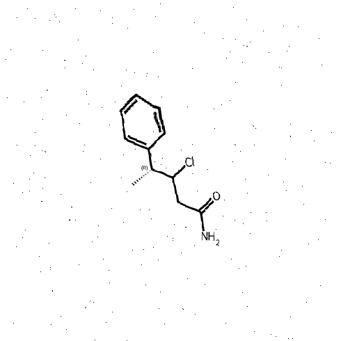 C[C@H](c1ccccc1)C(Cl)CC(N)=O